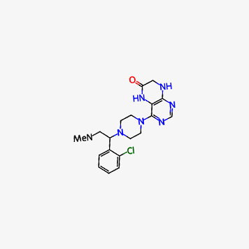 CNCC(c1ccccc1Cl)N1CCN(c2ncnc3c2NC(=O)CN3)CC1